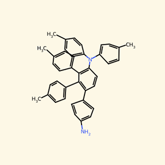 Cc1ccc(-c2c(-c3ccc(N)cc3)ccc(N(c3ccc(C)cc3)c3ccc(C)cc3)c2-c2ccc(C)cc2)cc1